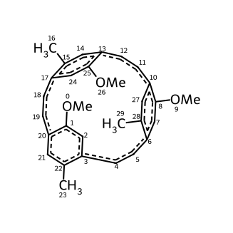 COc1cc2ccc3cc(OC)c(ccc4cc(C)c(ccc1cc2C)cc4OC)cc3C